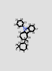 CC1(C)C=CC=CC(C2(C)C=CC=c3c(c4ccccc4n3-c3ccccc3)=C2)=C1